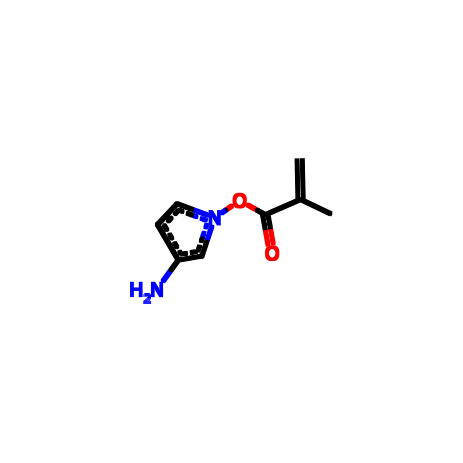 C=C(C)C(=O)On1ccc(N)c1